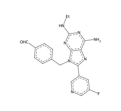 CCNc1nc(N)c2nc(-c3cncc(F)c3)n(Cc3ccc(C=O)cc3)c2n1